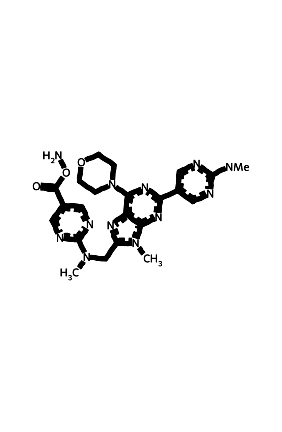 CNc1ncc(-c2nc(N3CCOCC3)c3nc(CN(C)c4ncc(C(=O)ON)cn4)n(C)c3n2)cn1